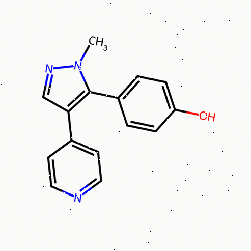 Cn1ncc(-c2ccncc2)c1-c1ccc(O)cc1